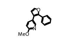 COc1ccc(-c2ccoc2-c2ccccc2)cn1